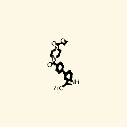 C#Cc1c[nH]c2ccc(-c3ccc(C(=O)N4CCN(C(=O)C5CCO5)CC4)cc3)cc12